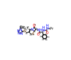 CC(C)NC(=O)NC(C(=O)N[C@H]1C(=O)N2C(C(=O)O)=C(CSc3nnnn3C)CSC12)c1ccccc1